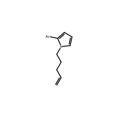 C=CCCCn1cccc1C(C)=O